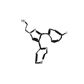 OCCn1cc(-c2ccncn2)c(-c2ccc(Cl)cc2)n1